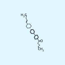 C=CCCC(=O)c1ccc(-c2ccc([C@H]3CC[C@H](C=CCCC)CC3)cc2)cc1